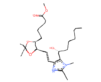 CCCCC[C@@H](O)c1c(/C=C/[C@H]2OC(C)(C)O[C@H]2CCCC(=O)OC)nc(C)n1C